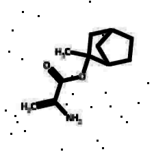 C=C(N)C(=O)OC1(C)CC2CCC1C2